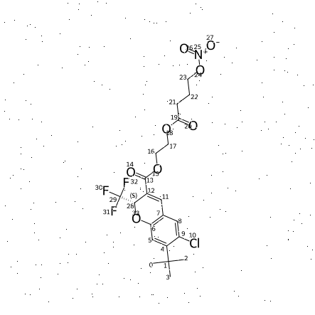 CC(C)(C)c1cc2c(cc1Cl)C=C(C(=O)OCCOC(=O)CCCO[N+](=O)[O-])[C@@H](C(F)(F)F)O2